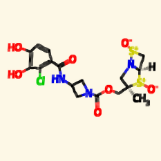 C[C@]1(COC(=O)N2CC(NC(=O)c3ccc(O)c(O)c3Cl)C2)CN2[C@@H](C[S+]2[O-])[S+]1[O-]